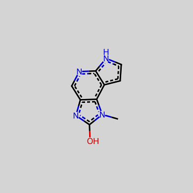 Cn1c(O)nc2cnc3[nH]ccc3c21